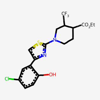 CCOC(=O)C1CCN(c2nc(-c3cc(Cl)ccc3O)cs2)CC1C(F)(F)F